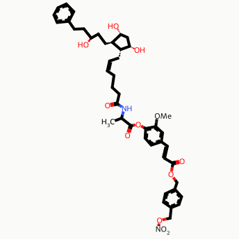 COc1cc(/C=C/C(=O)OCc2ccc(CO[N+](=O)[O-])cc2)ccc1OC(=O)C(C)NC(=O)CCC/C=C\C[C@@H]1[C@@H](CC[C@@H](O)CCc2ccccc2)[C@H](O)C[C@@H]1O